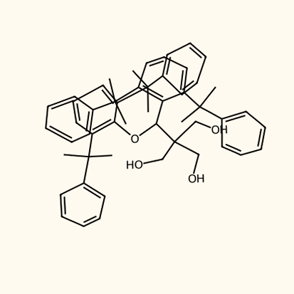 CC(C)(c1ccccc1)c1cccc(C(C)(C)c2ccccc2)c1OC(c1c(C(C)(C)c2ccccc2)cccc1C(C)(C)c1ccccc1)C(CO)(CO)CO